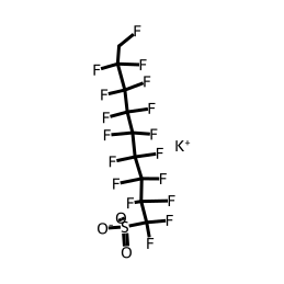 O=S(=O)([O-])C(F)(F)C(F)(F)C(F)(F)C(F)(F)C(F)(F)C(F)(F)C(F)(F)C(F)(F)CF.[K+]